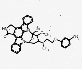 COC1C(N(C)CCOc2cccc(C)c2)CC2OC1(C)n1c3ccccc3c3c4c(c5c6ccccc6n2c5c31)C(=O)NC4